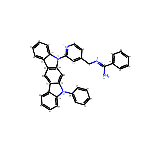 N/C(=N\Cc1ccnc(-n2c3ccccc3c3cc4c5ccccc5n(-c5ccccc5)c4cc32)c1)c1ccccc1